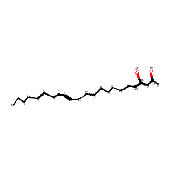 CCCCCCCCC#CCCCCCCCCCC(=O)CC(C)=O